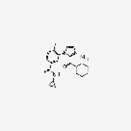 Cc1ccc(C(=O)NC2CC2)cc1-n1ccnc1C(=O)C1CCCCC1N